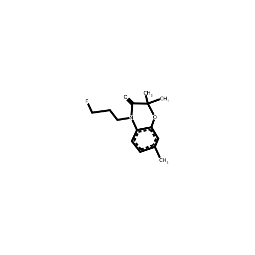 Cc1ccc2c(c1)OC(C)(C)C(=O)N2CCCF